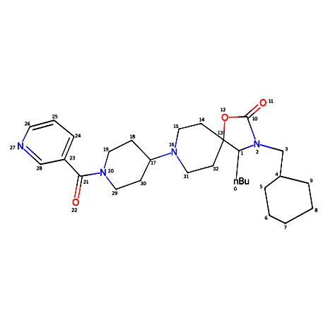 CCCCC1N(CC2CCCCC2)C(=O)OC12CCN(C1CCN(C(=O)c3cccnc3)CC1)CC2